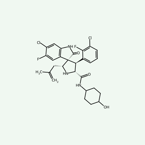 C=C(C)C[C@H]1N[C@@H](C(=O)NC2CCC(O)CC2)[C@H](c2cccc(Cl)c2F)[C@@]12C(=O)Nc1cc(Cl)c(F)cc12